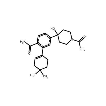 CC(=O)N1CCC(O)(c2ccc(C(N)=O)c(C3=CCC(C)(C)CC3)c2)CC1